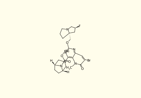 Cn1c(=O)c(Br)cc2nc(OC[C@]34CCCN3C[C@@H](F)C4)nc(N3C[C@H]4CC[C@@H](C3)N4C(=O)OC(C)(C)C)c21